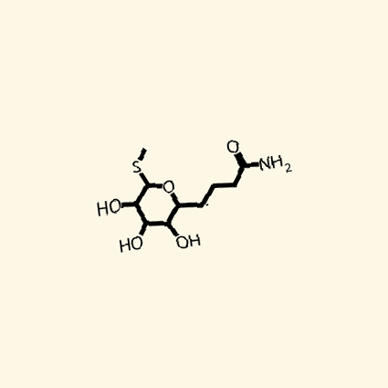 CSC1OC([CH]CCC(N)=O)C(O)C(O)C1O